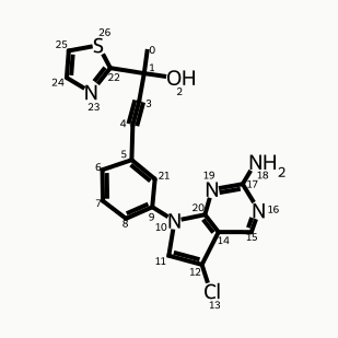 CC(O)(C#Cc1cccc(-n2cc(Cl)c3cnc(N)nc32)c1)c1nccs1